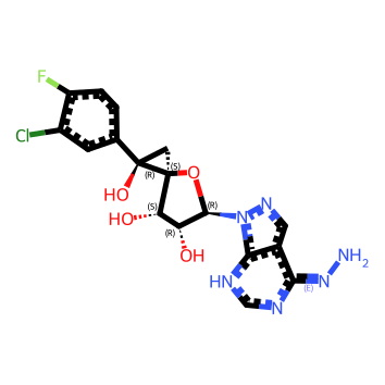 N/N=c1/nc[nH]c2c1cnn2[C@@H]1O[C@@]2(C[C@@]2(O)c2ccc(F)c(Cl)c2)[C@@H](O)[C@H]1O